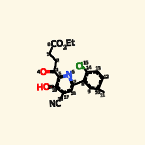 CCOC(=O)CCC(=O)c1nc(-c2cc(C)ccc2Cl)cc(C#N)c1O